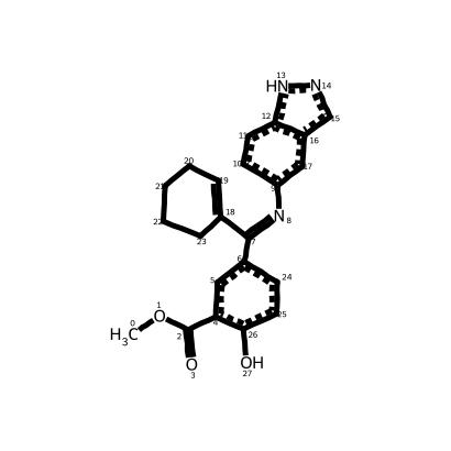 COC(=O)c1cc(/C(=N/c2ccc3[nH]ncc3c2)C2=CCCCC2)ccc1O